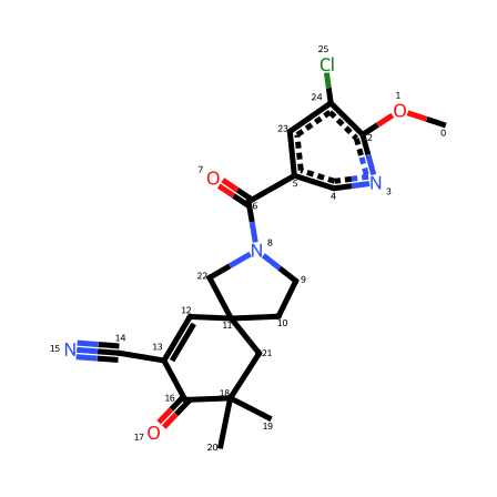 COc1ncc(C(=O)N2CCC3(C=C(C#N)C(=O)C(C)(C)C3)C2)cc1Cl